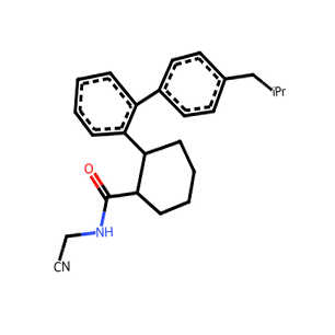 CC(C)Cc1ccc(-c2ccccc2C2CCCCC2C(=O)NCC#N)cc1